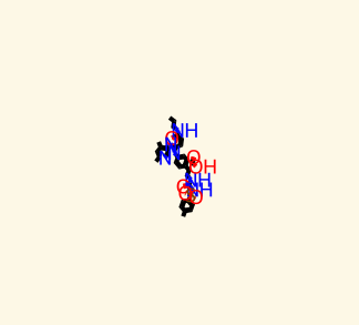 CCCNC(=O)/C=C\c1nc2c(C)cc(C)nc2n1-c1ccc(CCNC(=O)NS(=O)(=O)c2ccc(C)cc2)cc1.O=CO